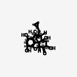 C[N@+]1(CC2CC2)CC[C@]23c4c5c(O)cc(O)c4O[C@H]2C(=O)C(O)C[C@@]3(O)[C@H]1C5